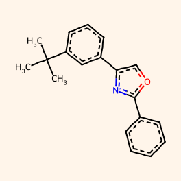 CC(C)(C)c1cccc(-c2coc(-c3ccccc3)n2)c1